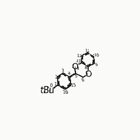 CC(C)(C)c1ccc(C2COc3c[c]ccc3O2)cc1